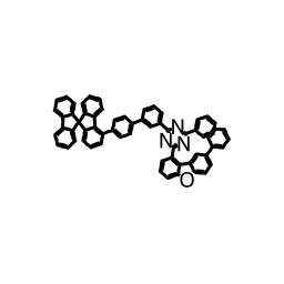 c1ccc(-c2ccc3oc4cccc(-c5nc(-c6ccccc6)nc(-c6cccc(-c7ccc(-c8cccc9c8-c8ccccc8C98c9ccccc9-c9ccccc98)cc7)c6)n5)c4c3c2)cc1